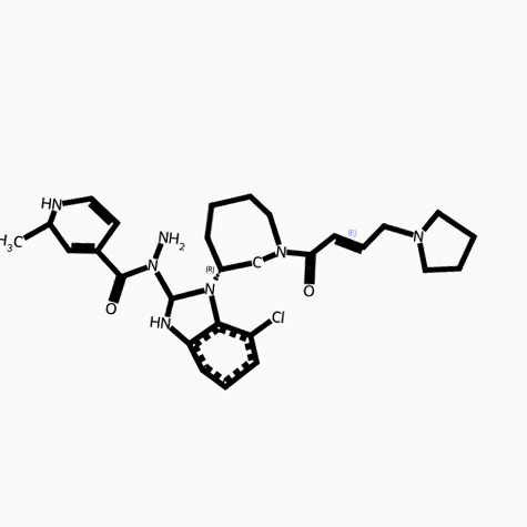 CC1C=C(C(=O)N(N)C2Nc3cccc(Cl)c3N2[C@@H]2CCCCN(C(=O)/C=C/CN3CCCC3)C2)C=CN1